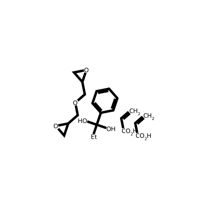 C(OCC1CO1)C1CO1.C=CC(=O)O.C=CC(=O)O.CCC(O)(O)c1ccccc1